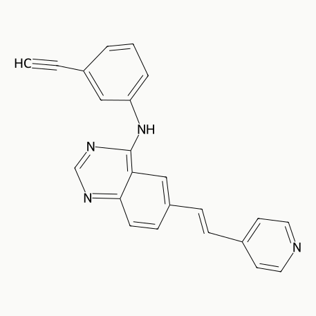 C#Cc1cccc(Nc2ncnc3ccc(C=Cc4ccncc4)cc23)c1